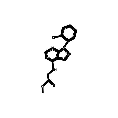 COC(=O)CNc1ncnc2c1cnn2-c1ccccc1Cl